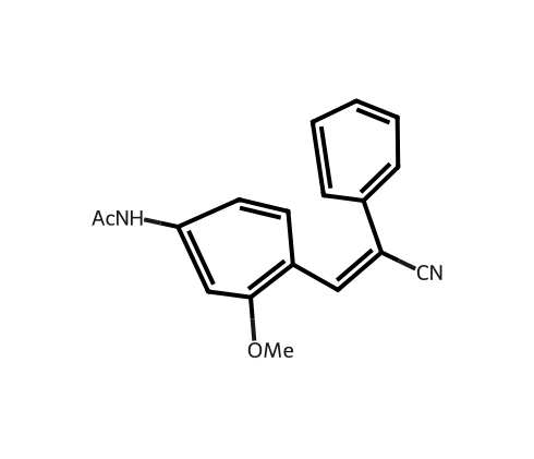 COc1cc(NC(C)=O)ccc1C=C(C#N)c1ccccc1